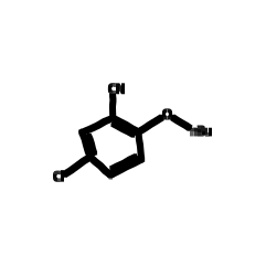 CCCCOc1c[c]c(Cl)cc1C#N